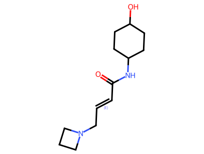 O=C(/C=C/CN1CCC1)NC1CCC(O)CC1